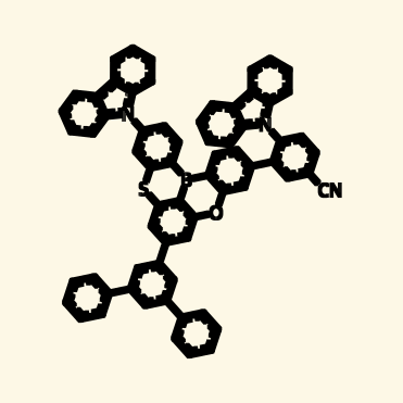 N#Cc1ccc(-n2c3ccccc3c3ccccc32)c(-c2ccc3c(c2)Oc2cc(-c4cc(-c5ccccc5)cc(-c5ccccc5)c4)cc4c2B3c2ccc(-n3c5ccccc5c5ccccc53)cc2S4)c1